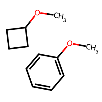 COC1CCC1.COc1ccccc1